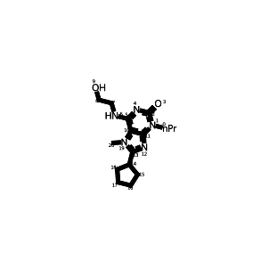 CCCn1c(=O)nc(NCCO)c2c1nc(C1CCCC1)n2C